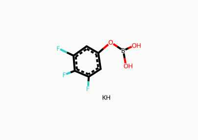 OB(O)Oc1cc(F)c(F)c(F)c1.[KH]